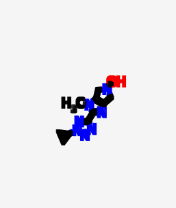 Cn1c(-c2nnn(C3CC3)n2)nc2c1CN(O)C2